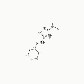 CNc1nnc(NCC2CCCCC2)[nH]1